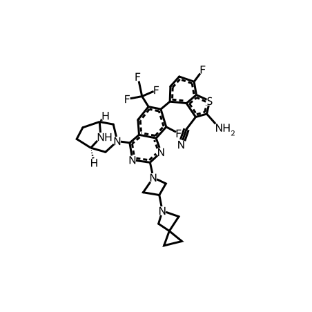 N#Cc1c(N)sc2c(F)ccc(-c3c(C(F)(F)F)cc4c(N5C[C@H]6CC[C@@H](C5)N6)nc(N5CC(N6CC7(CC7)C6)C5)nc4c3F)c12